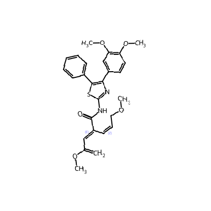 C=C(/C=C(\C=C/COC)C(=O)Nc1nc(-c2ccc(OC)c(OC)c2)c(-c2ccccc2)s1)OC